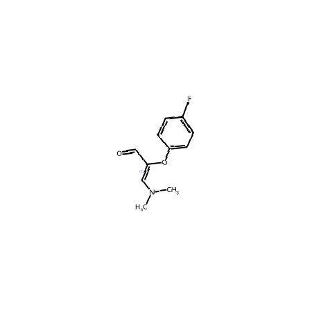 CN(C)/C=C(/C=O)Oc1ccc(F)cc1